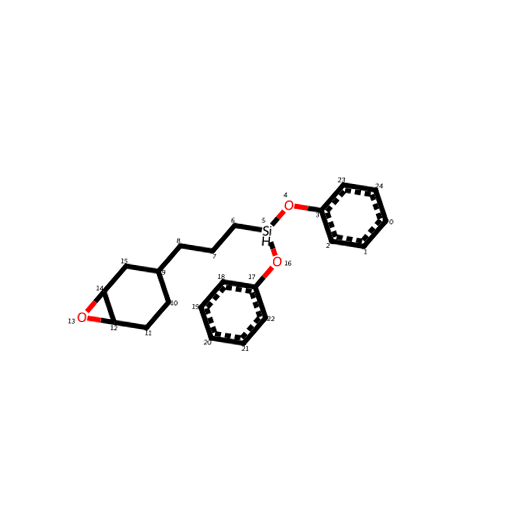 c1ccc(O[SiH](CCCC2CCC3OC3C2)Oc2ccccc2)cc1